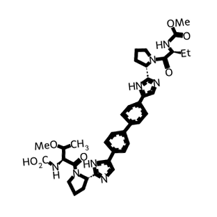 CC[C@H](NC(=O)OC)C(=O)N1CCC[C@H]1c1ncc(-c2ccc(-c3ccc(-c4cnc([C@@H]5CCCN5C(=O)[C@@H](NC(=O)O)C(C)OC)[nH]4)cc3)cc2)[nH]1